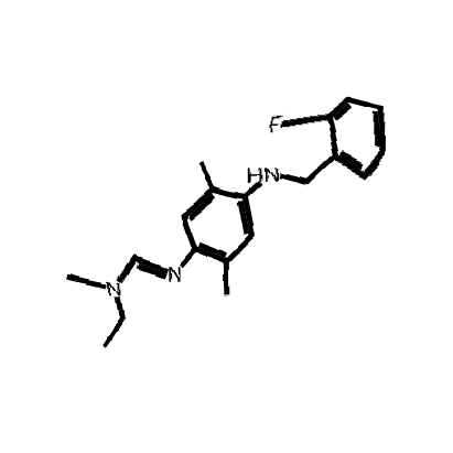 CCN(C)/C=N/c1cc(C)c(NCc2ccccc2F)cc1C